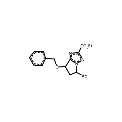 CCOC(=O)c1nc2n(n1)C(C(C)=O)CC2OCc1ccccc1